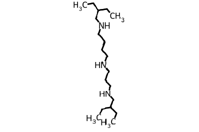 CCC(CC)CNCCCCNCCCNCC(CC)CC